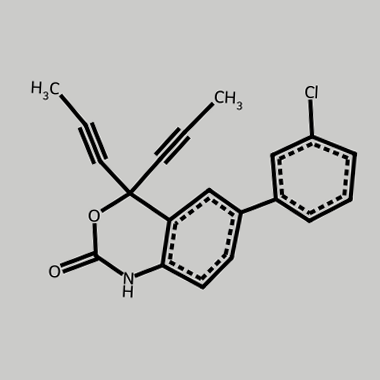 CC#CC1(C#CC)OC(=O)Nc2ccc(-c3cccc(Cl)c3)cc21